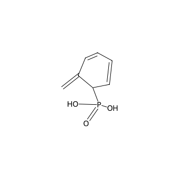 C=C1C=CC=CC1P(=O)(O)O